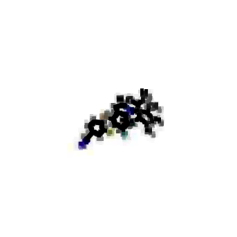 CC(C)[Si](C(C)C)(C(C)C)n1ccc2c(Br)c(Sc3cccc(C#N)c3)c(F)cc21